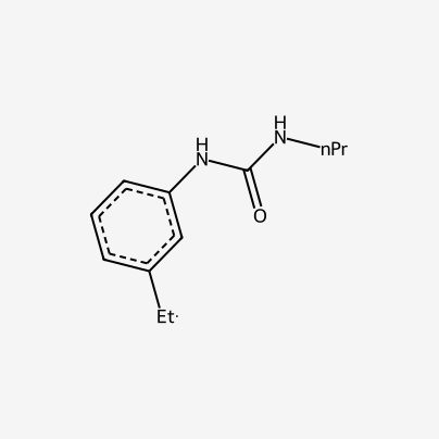 C[CH]c1cccc(NC(=O)NCCC)c1